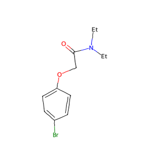 CCN(CC)C(=O)COc1ccc(Br)cc1